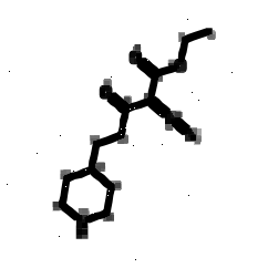 CCOC(=O)C(=[N+]=[N-])C(=O)CCC1CCNCC1